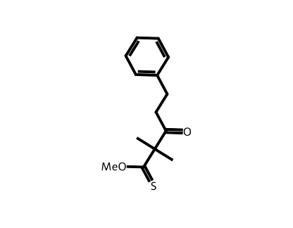 COC(=S)C(C)(C)C(=O)CCc1ccccc1